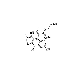 CCOc1ncc(C)c2c1[C@H](c1ccc(C#N)cc1OC)C(C(=O)OCCC#N)=C(C)N2